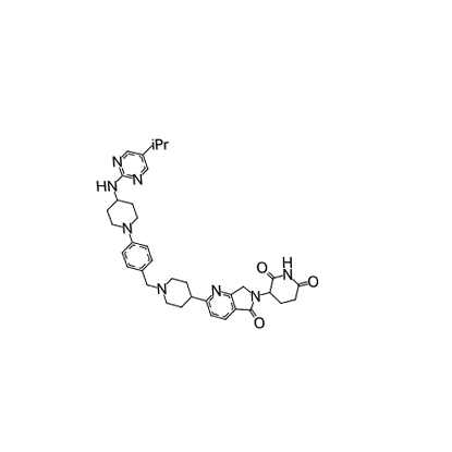 CC(C)c1cnc(NC2CCN(c3ccc(CN4CCC(c5ccc6c(n5)CN(C5CCC(=O)NC5=O)C6=O)CC4)cc3)CC2)nc1